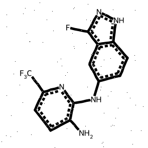 Nc1ccc(C(F)(F)F)nc1Nc1ccc2[nH]nc(F)c2c1